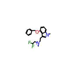 CN(CCc1cn(C)c2cccc(OCc3ccccc3)c12)CC(F)F